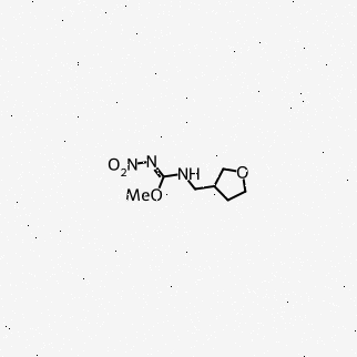 CO/C(=N\[N+](=O)[O-])NCC1CCOC1